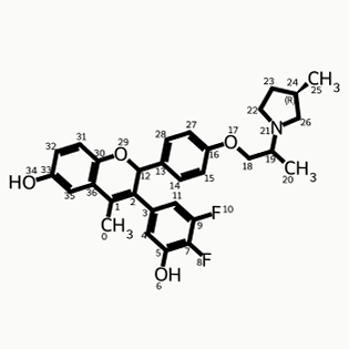 CC1=C(c2cc(O)c(F)c(F)c2)C(c2ccc(OCC(C)N3CC[C@@H](C)C3)cc2)Oc2ccc(O)cc21